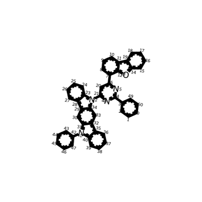 c1ccc(-c2nc(-c3cccc4c3oc3ccccc34)cc(-n3c4ccccc4c4cc5c(cc43)c3ccccc3n5-c3ccccc3)n2)cc1